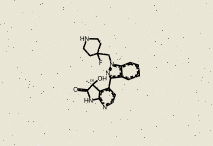 C[C@@]1(O)C(=O)Nc2nccc(-c3nn(CC4(F)CCNCC4)c4ccccc34)c21